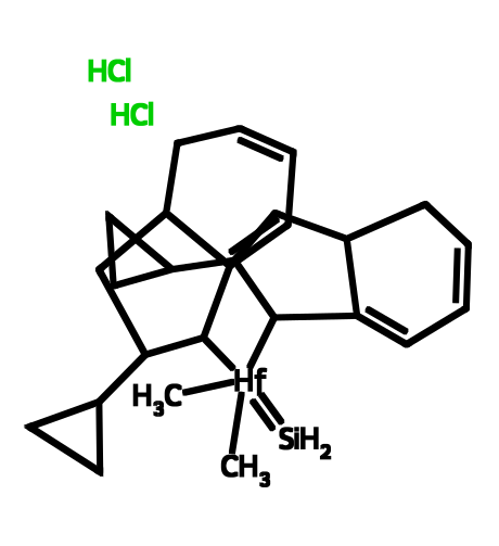 Cl.Cl.[CH3][Hf]([CH3])(=[SiH2])([CH]1C2=CC=CCC2CC1C1CC1)[CH]1C2=CC=CCC2CC1C1CC1